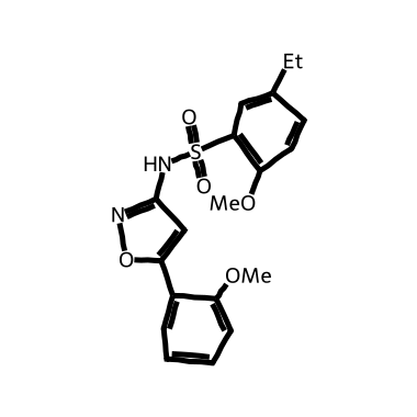 CCc1ccc(OC)c(S(=O)(=O)Nc2cc(-c3ccccc3OC)on2)c1